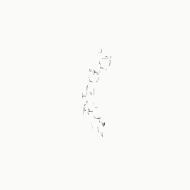 CN(C)c1ccc(-c2ccc(C(=O)NCc3ccc(-c4ccnc(F)c4)nc3)cn2)cn1